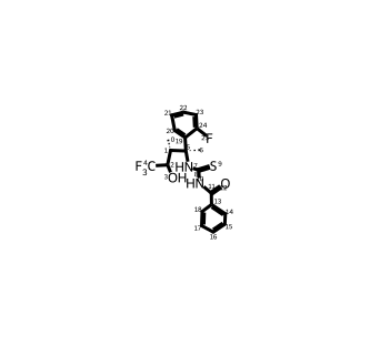 C[C@@H](C(O)C(F)(F)F)[C@](C)(NC(=S)NC(=O)c1ccccc1)c1ccccc1F